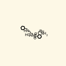 CCC(C)Cc1c(N)cccc1S(=O)(=O)NC[C@H](O)CNCc1ccccc1